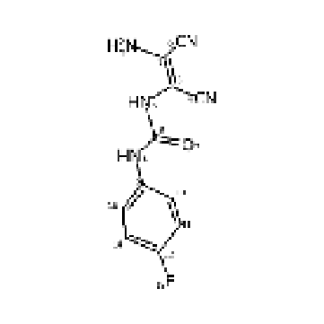 N#C/C(N)=C(\C#N)NC(=O)Nc1ccc(F)cc1